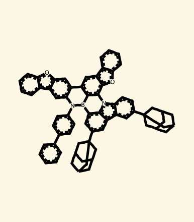 c1ccc(-c2ccc(N3B4c5c(cc6c(oc7ccccc76)c5-n5c6ccc(C78CC9CC(CC(C9)C7)C8)cc6c6cc(C78CC9CC(CC(C9)C7)C8)cc4c65)-c4cc5oc6ccccc6c5cc43)cc2)cc1